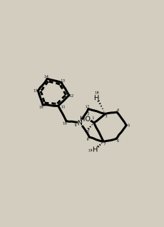 C[C@]1(O)[C@@H]2CCC[C@H]1CN(Cc1ccccc1)C2